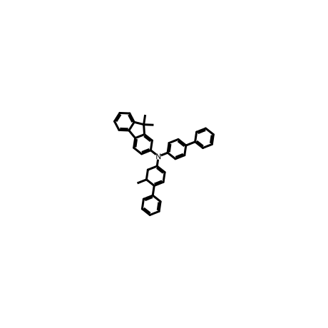 CC1CC(N(c2ccc(-c3ccccc3)cc2)c2ccc3c(c2)C(C)(C)c2ccccc2-3)=CC=C1c1ccccc1